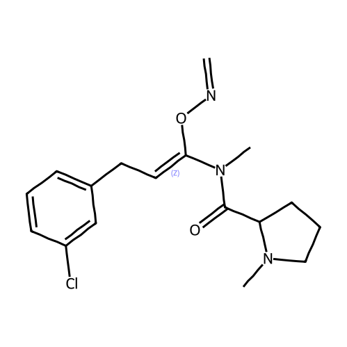 C=NO/C(=C\Cc1cccc(Cl)c1)N(C)C(=O)C1CCCN1C